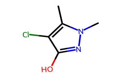 Cc1c(Cl)c(O)nn1C